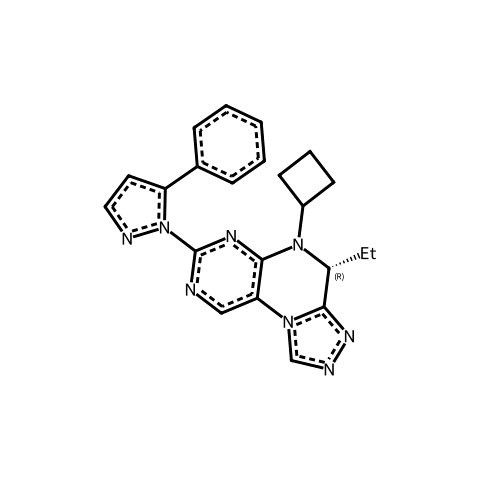 CC[C@@H]1c2nncn2-c2cnc(-n3nccc3-c3ccccc3)nc2N1C1CCC1